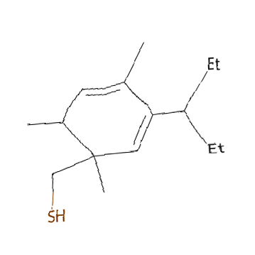 CCC(CC)C1=CC(C)(CS)C(C)C=C1C